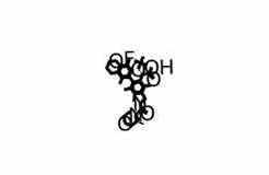 Cc1c(-c2c(C)c3c(c(C)c2[C@H](OC(C)(C)C)C(=O)O)CN(C(=O)N2CCOC[C@@H]2C)C3)cc(F)c2c1CCCO2